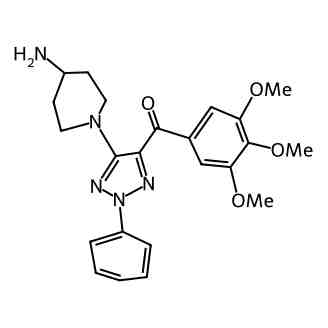 COc1cc(C(=O)c2nn(-c3ccccc3)nc2N2CCC(N)CC2)cc(OC)c1OC